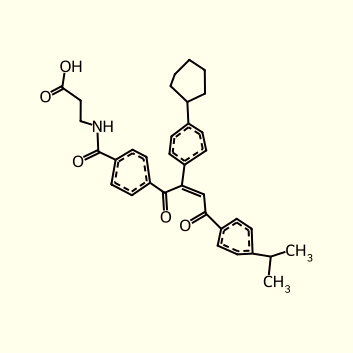 CC(C)c1ccc(C(=O)C=C(C(=O)c2ccc(C(=O)NCCC(=O)O)cc2)c2ccc(C3CCCCC3)cc2)cc1